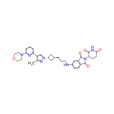 Cc1nn([C@H]2C[C@H](CCCNc3ccc4c(c3)C(=O)N(C3CCC(=O)NC3=O)C4=O)C2)cc1-c1cccc(N2CCOCC2)n1